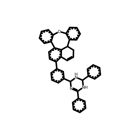 C1=Cc2c(-c3cccc(C4N=C(c5ccccc5)NC(c5ccccc5)N4)c3)ccc3c2C(C1)c1ccccc1Oc1ccccc1-3